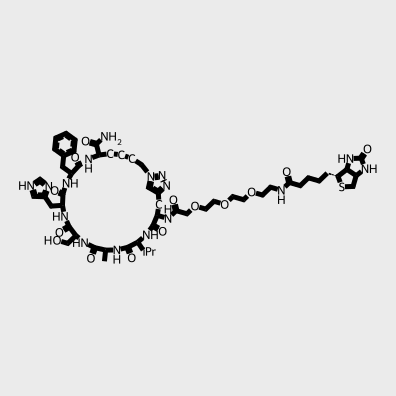 CC1NC(=O)C(C(C)C)NC(=O)C(NC(=O)COCCOCCOCCNC(=O)CCCC[C@H]2SCC3NC(=O)NC32)Cc2cn(nn2)CCCCC(C(N)=O)NC(=O)C(Cc2ccccc2)NC(=O)C(Cc2c[nH]cn2)NC(=O)C(CO)NC1=O